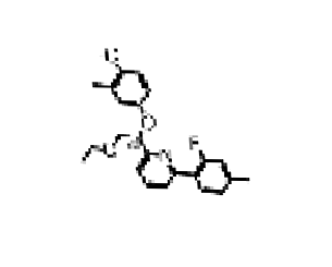 CCOC[C@@H](Oc1ccc([O])c(C)c1)c1cccc(-c2ccc(C)cc2F)n1